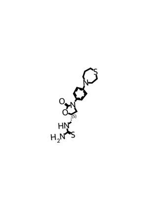 NC(=S)NC[C@H]1CN(c2ccc(N3CCCSCC3)cc2)C(=O)O1